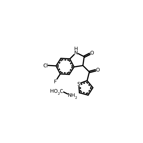 NC(=O)O.O=C1Nc2cc(Cl)c(F)cc2C1C(=O)c1cccs1